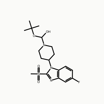 CC(C)(C)OC(O)N1CCC(n2c(S(C)(=O)=O)nc3cc(F)ccc32)CC1